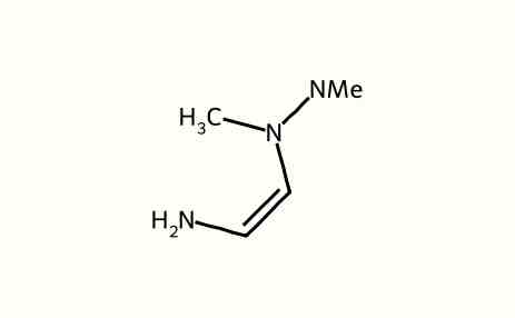 CNN(C)/C=C\N